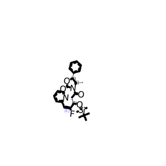 C[C@H]1[C@@H](c2ccccc2)OC(=O)N1C(=O)C[C@H](O[Si](C)(C)C(C)(C)C)/C(F)=C\c1ccccn1